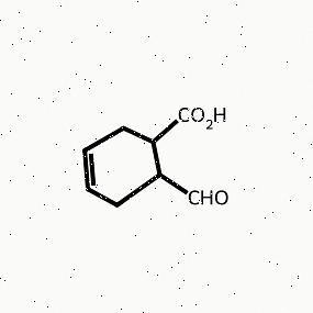 O=CC1CC=CCC1C(=O)O